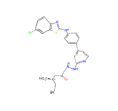 CC(C)C[C@H](CC(=O)NNc1cc(-c2ccc(Nc3nc4ccc(Cl)cc4s3)cc2)ccn1)C(=O)O